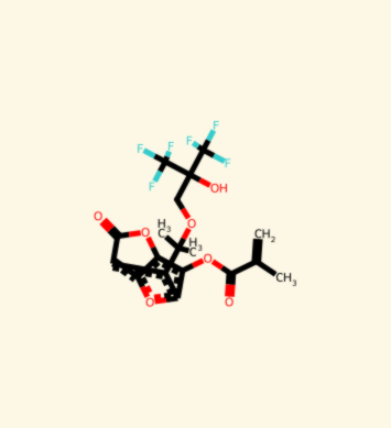 C=C(C)C(=O)Oc1c2c3oc1c(C(C)(C)OCC(O)(C(F)(F)F)C(F)(F)F)c3C(=O)O2